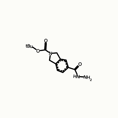 CC(C)(C)OC(=O)N1Cc2ccc(C(=O)NN)cc2C1